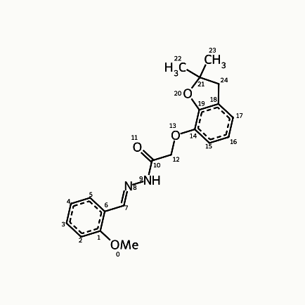 COc1ccccc1/C=N/NC(=O)COc1cccc2c1OC(C)(C)C2